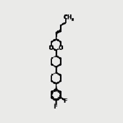 CCC/C=C/[C@H]1CO[C@H]([C@H]2CC[C@H]([C@H]3CC[C@H](c4ccc(F)c(F)c4)CC3)CC2)OC1